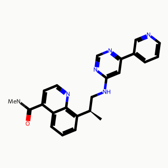 CNC(=O)c1ccnc2c([C@H](C)CNc3cc(-c4cccnc4)ncn3)cccc12